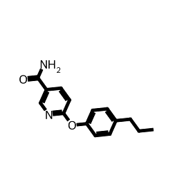 CCCc1ccc(Oc2ccc(C(N)=O)cn2)cc1